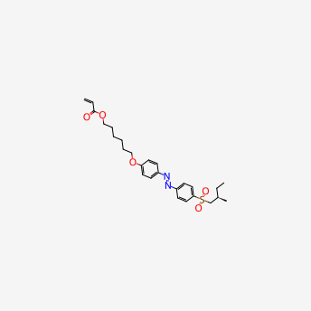 C=CC(=O)OCCCCCCOc1ccc(N=Nc2ccc(S(=O)(=O)C[C@H](C)CC)cc2)cc1